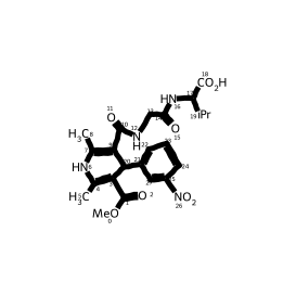 COC(=O)C1=C(C)NC(C)=C(C(=O)NCC(=O)NC(C(=O)O)C(C)C)C1c1cccc([N+](=O)[O-])c1